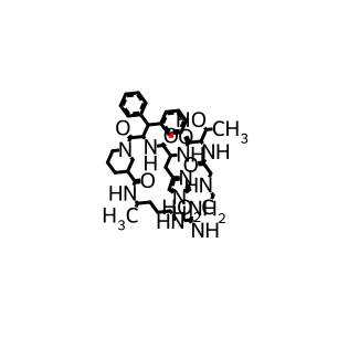 CC(CCCNC(=N)N)NC(=O)C1CCCN(C(=O)C(NC(=O)C(Cc2c[nH]cn2)NC(=O)C(NC(=O)CNCC(=O)O)C(C)O)C(c2ccccc2)c2ccccc2)C1